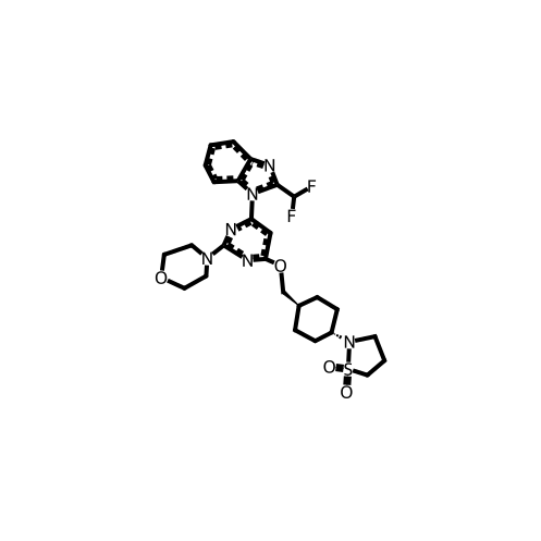 O=S1(=O)CCCN1[C@H]1CC[C@H](COc2cc(-n3c(C(F)F)nc4ccccc43)nc(N3CCOCC3)n2)CC1